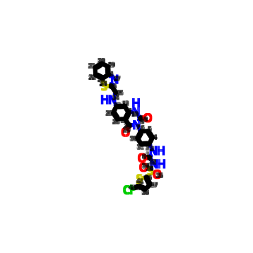 O=C(Nc1ccc(-n2c(=O)[nH]c3cc(NCc4nc5ccccc5s4)ccc3c2=O)cc1)NS(=O)(=O)c1ccc(Cl)s1